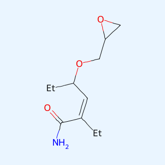 CCC(=CC(CC)OCC1CO1)C(N)=O